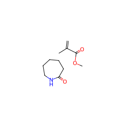 C=C(C)C(=O)OC.O=C1CCCCCN1